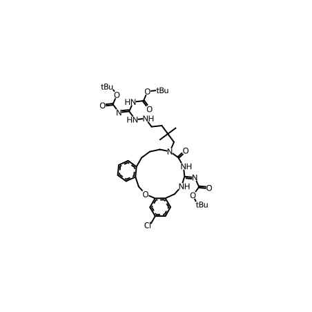 CC(C)(CCNNC(=NC(=O)OC(C)(C)C)NC(=O)OC(C)(C)C)CN1CCCc2ccccc2COc2cc(Cl)ccc2CNC(=NC(=O)OC(C)(C)C)NC1=O